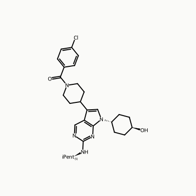 CCC[C@H](C)Nc1ncc2c(C3CCN(C(=O)c4ccc(Cl)cc4)CC3)cn([C@H]3CC[C@H](O)CC3)c2n1